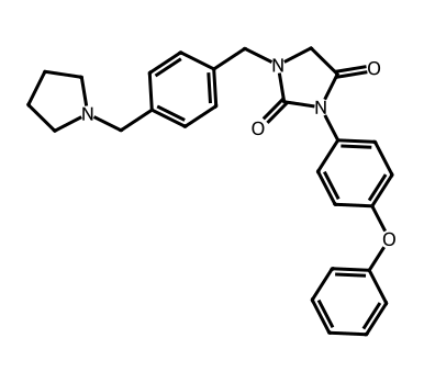 O=C1CN(Cc2ccc(CN3CCCC3)cc2)C(=O)N1c1ccc(Oc2ccccc2)cc1